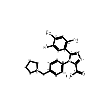 CC(C)c1cc(-c2nnc(C(N)=O)n2-c2ccc(CN3CCCC3)cc2)c(O)cc1O